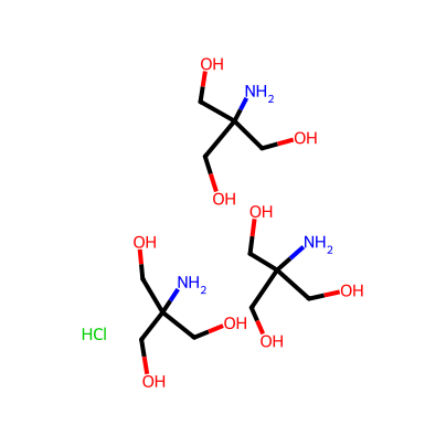 Cl.NC(CO)(CO)CO.NC(CO)(CO)CO.NC(CO)(CO)CO